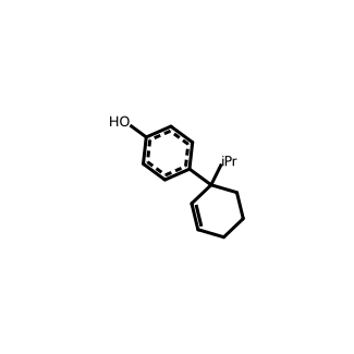 CC(C)C1(c2ccc(O)cc2)C=CCCC1